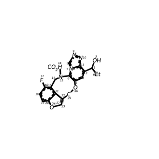 CCC(O)c1cc2c(n3cnnc13)N(C(=O)O)Cc1c(F)ccc3c1[C@@H](CO3)CO2